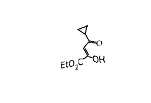 CCOC(=O)C(O)=CC(=O)C1CC1